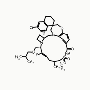 CC(C)COC[C@H]1/C(F)=C/C[C@H](C)[C@@H](C)S(=O)(=O)NC(=O)c2ccc3c(c2)N(C[C@@H]2CCN21)C[C@@]1(CCCc2cc(Cl)ccc21)CO3